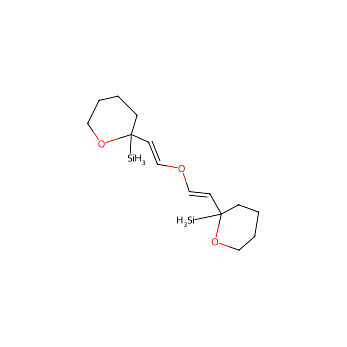 [SiH3]C1(C=COC=CC2([SiH3])CCCCO2)CCCCO1